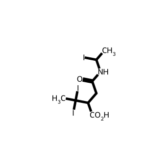 CC(I)NC(=O)CC(C(=O)O)C(C)(I)I